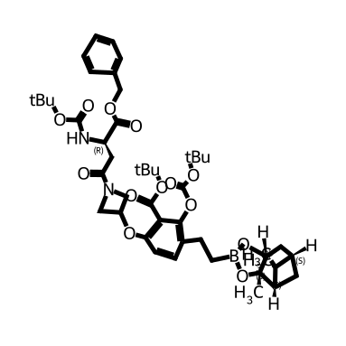 CC(C)(C)OC(=O)N[C@H](CC(=O)N1CC(Oc2ccc(CCB3O[C@@H]4C[C@@H]5C[C@@H](C5(C)C)[C@]4(C)O3)c(OC(=O)OC(C)(C)C)c2C(=O)OC(C)(C)C)C1)C(=O)OCc1ccccc1